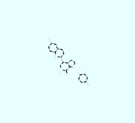 Cc1ccc(S(=O)(=O)n2ccc3c(-c4ccc5cc(Br)ccc5n4)cn(C)c(=O)c32)cc1